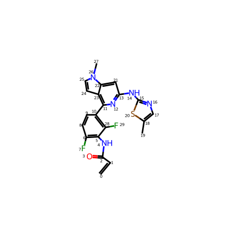 C=CC(=O)Nc1c(F)ccc(-c2nc(Nc3ncc(C)s3)cc3c2ccn3C)c1F